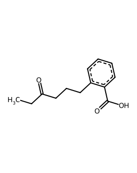 CCC(=O)CCCc1ccccc1C(=O)O